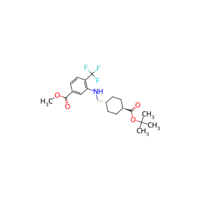 COC(=O)c1ccc(C(F)(F)F)c(NC[C@H]2CC[C@H](C(=O)OC(C)(C)C)CC2)c1